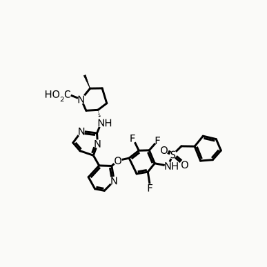 C[C@H]1CC[C@H](Nc2nccc(-c3cccnc3Oc3cc(F)c(NS(=O)(=O)Cc4ccccc4)c(F)c3F)n2)CN1C(=O)O